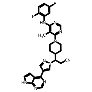 Cc1c(Nc2cc(F)ccc2F)ncnc1N1CCC(C(CC#N)n2cc(-c3ncnc4[nH]ccc34)cn2)CC1